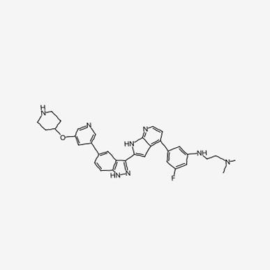 CN(C)CCNc1cc(F)cc(-c2ccnc3[nH]c(-c4n[nH]c5ccc(-c6cncc(OC7CCNCC7)c6)cc45)cc23)c1